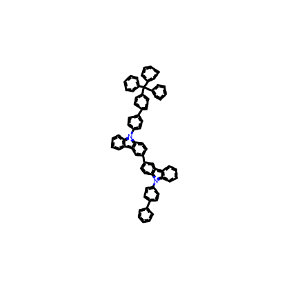 c1ccc(-c2ccc(-n3c4ccccc4c4cc(-c5ccc6c(c5)c5ccccc5n6-c5ccc(-c6ccc(C(c7ccccc7)(c7ccccc7)c7ccccc7)cc6)cc5)ccc43)cc2)cc1